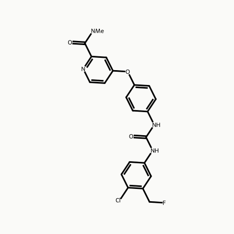 CNC(=O)c1cc(Oc2ccc(NC(=O)Nc3ccc(Cl)c(CF)c3)cc2)ccn1